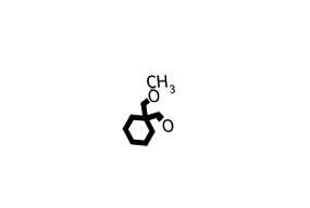 COCC1(C=O)CCCCC1